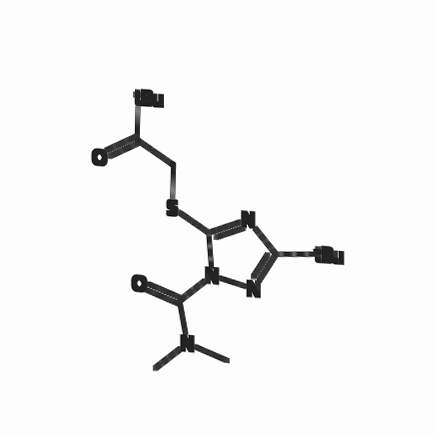 CN(C)C(=O)n1nc(C(C)(C)C)nc1SCC(=O)C(C)(C)C